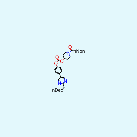 CCCCCCCCCCCc1ncc(-c2ccc(OC(=O)OC3CCN(C(=O)CCCCCCCCC)CC3)cc2)cn1